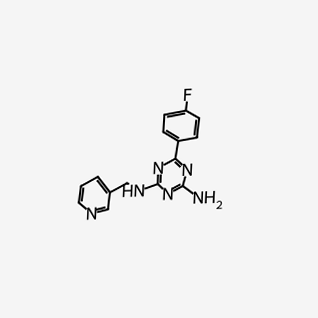 Nc1nc(NCc2cccnc2)nc(-c2ccc(F)cc2)n1